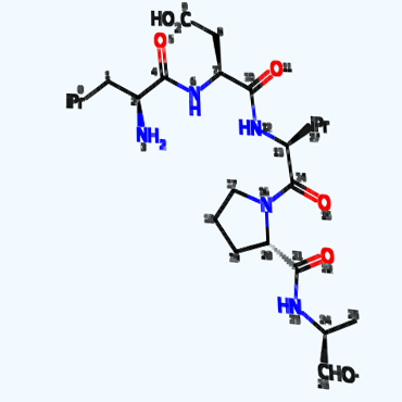 CC(C)C[C@H](N)C(=O)N[C@@H](CC(=O)O)C(=O)N[C@H](C(=O)N1CCC[C@H]1C(=O)N[C@@H](C)[C]=O)C(C)C